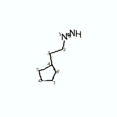 N=NCCC1CCCC1